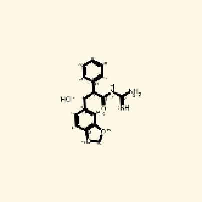 Cl.N=C(N)NC(=O)C(Cc1ccc2c(c1)OCO2)c1ccccc1